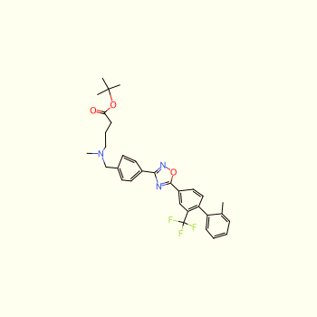 Cc1ccccc1-c1ccc(-c2nc(-c3ccc(CN(C)CCCC(=O)OC(C)(C)C)cc3)no2)cc1C(F)(F)F